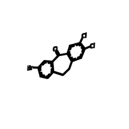 O=C1c2cc(Br)ccc2CCc2cc(Cl)c(Cl)cc21